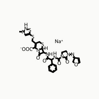 CN1C=C(SCC2=C(C(=O)[O-])N3C(=O)C(NC(=O)C(NC(=O)N4CCN(N=C5C=COC5)C4=O)c4ccccc4)[C@@H]3SC2)SN1.[Na+]